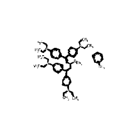 CCN(CC)c1ccc(C(=CC(C=C(c2ccc(N(CC)CC)cc2)c2ccc(N(CC)CC)cc2)OC)c2ccc(N(CC)CC)cc2)cc1.Cc1ccccc1